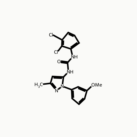 COc1cccc(-n2nc(C)cc2NC(=O)Nc2cccc(Cl)c2Cl)c1